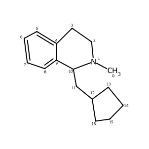 CN1CCc2ccccc2C1CC1CCCC1